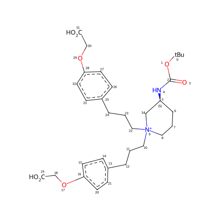 CC(C)(C)OC(=O)N[C@H]1CCC[N+](CCCc2ccc(OCC(=O)O)cc2)(CCCc2ccc(OCC(=O)O)cc2)C1